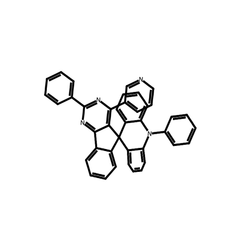 c1ccc(-c2nc(-c3cccnc3)c3c(n2)-c2ccccc2C32c3ccccc3N(c3ccccc3)c3ccccc32)cc1